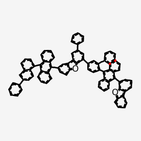 c1ccc(-c2ccc3c(-c4c5ccccc5c(-c5ccc6oc7c(-c8ccc(-c9c%10ccccc%10c(-c%10cccc%11c%10oc%10ccccc%10%11)c%10ccccc9%10)c(-c9ccccc9)c8)cc(-c8ccccc8)cc7c6c5)c5ccccc45)cccc3c2)cc1